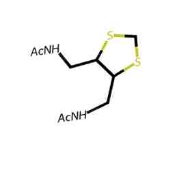 CC(=O)NCC1SCSC1CNC(C)=O